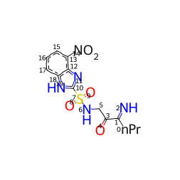 CCCC(=N)C(=O)CNS(=O)(=O)c1nc2c([N+](=O)[O-])cccc2[nH]1